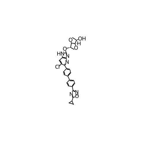 O[C@@H]1COC2[C@H](Oc3nc4nc(-c5ccc(-c6ccc(-c7noc(C8CC8)n7)cc6)cc5)c(Cl)cc4[nH]3)CO[C@@H]21